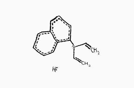 C=C[Si](C=C)c1cccc2ccccc12.F